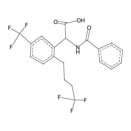 O=C(NC(C(=O)O)c1cc(C(F)(F)F)ccc1CCCC(F)(F)F)c1ccccc1